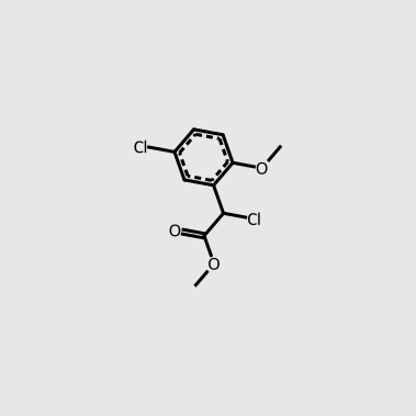 COC(=O)C(Cl)c1cc(Cl)ccc1OC